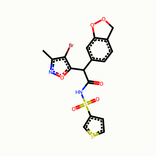 Cc1noc(C(C(=O)NS(=O)(=O)c2ccsc2)c2ccc3c(c2)OOC3)c1Br